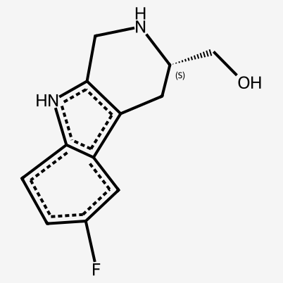 OC[C@@H]1Cc2c([nH]c3ccc(F)cc23)CN1